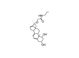 CCCNC(=O)CO[C@@H](C)C1=CCC2C3=CC=C4CC(O)CC(O)C4(C)C3CCC12C